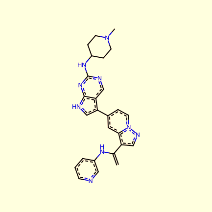 C=C(Nc1cccnc1)c1cnn2ccc(-c3c[nH]c4nc(NC5CCN(C)CC5)ncc34)cc12